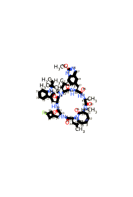 C=CC(C)(C)n1cc(C[C@@H]2NC(=O)[C@H](CC3CC(F)C3)NC(=O)[C@H](CC(C)C)N3CC/C=C\C[C@@H](C3=O)N(C)C(=O)[C@H](C)NC(=O)[C@H](Cc3ccc4nc(OC)ncc4c3)NC(=O)[C@H](CC(C)C)N(C)C2=O)c2ccccc21